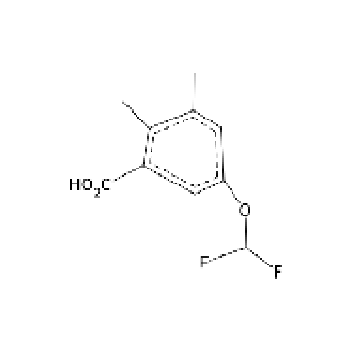 Cc1cc(OC(F)F)cc(C(=O)O)c1C